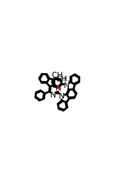 CC1(C)c2ccccc2-c2c(-c3ccccc3)nc(-n3c4ccccc4c4ccc5c6ccccc6n(-c6ccccc6)c5c43)nc21